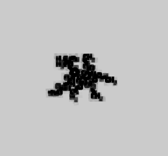 C=CCOC(=O)O[C@@H]1[C@@H](OC(=O)OCC=C)[C@H](Oc2ccc(CO[Si](C)(C)C(C)(C)C)cc2NC(=O)CCNC(=O)OC(C)(C)C)O[C@H](C(=O)OCC=C)[C@H]1OC(=O)OCC=C